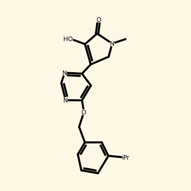 CC(C)c1cccc(COc2cc(C3=C(O)C(=O)N(C)C3)ncn2)c1